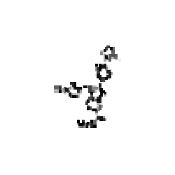 C=C(NC)c1ccc2c(c1)nc(-c1ccc(N3CCC[C@@H]3C)nc1)n2Cc1ccn(CC)n1